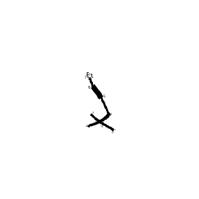 [CH2]C(C)(C)CC#CCC